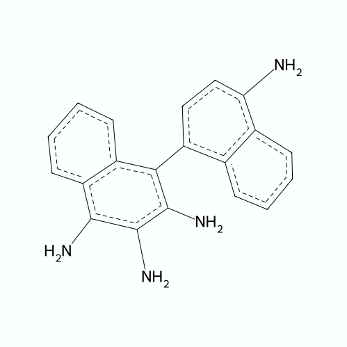 Nc1c(N)c(-c2ccc(N)c3ccccc23)c2ccccc2c1N